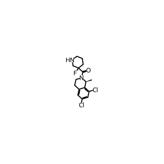 C[C@H]1c2c(Cl)cc(Cl)cc2CCN1C(=O)C1(F)CCCNC1